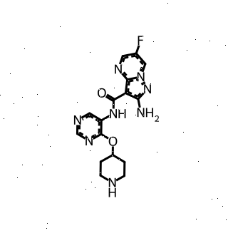 Nc1nn2cc(F)cnc2c1C(=O)Nc1cncnc1OC1CCNCC1